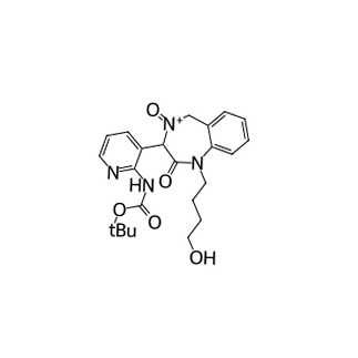 CC(C)(C)OC(=O)Nc1ncccc1C1C(=O)N(CCCCO)c2ccccc2C[N+]1=O